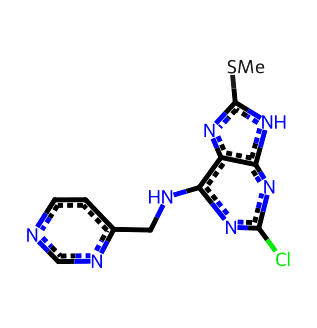 CSc1nc2c(NCc3ccncn3)nc(Cl)nc2[nH]1